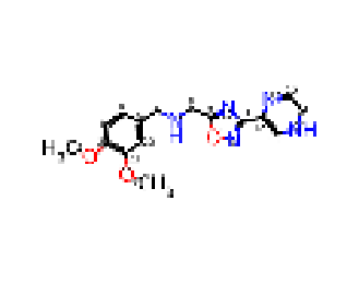 COc1ccc(CNCc2nc(C3=CNCC=N3)no2)cc1OC